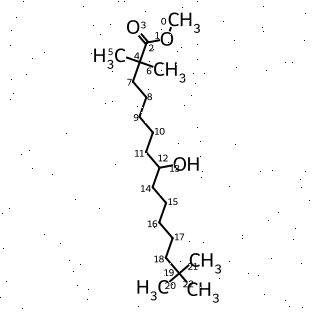 COC(=O)C(C)(C)CCCCCC(O)CCCCCC(C)(C)C